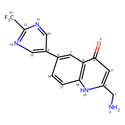 NCc1cc(=O)c2cc(-c3cnc(C(F)(F)F)nc3)ccc2[nH]1